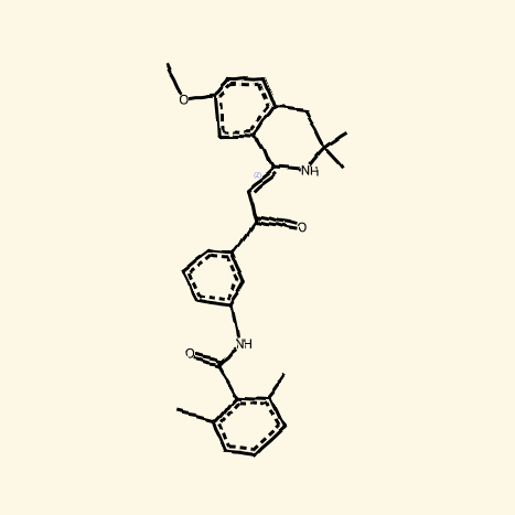 COc1ccc2c(c1)/C(=C/C(=O)c1cccc(NC(=O)c3c(C)cccc3C)c1)NC(C)(C)C2